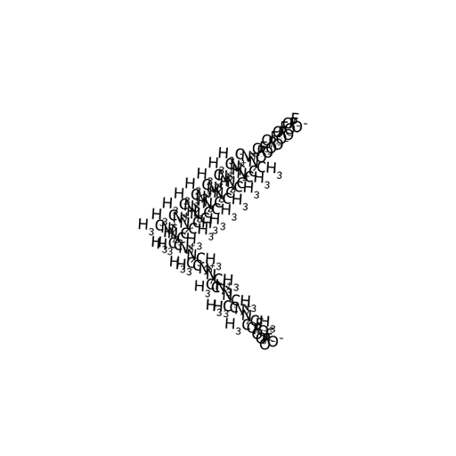 CC(C)n1cc[n+](C)c1.CC(C)n1cc[n+](C)c1.CC(C)n1cc[n+](C)c1.CC(C)n1cc[n+](C)c1.CC(C)n1cc[n+](C)c1.CC(C)n1cc[n+](C)c1.CC(C)n1cc[n+](C)c1.CC(C)n1cc[n+](C)c1.CC(C)n1cc[n+](C)c1.CC(C)n1cc[n+](C)c1.CC(C)n1cc[n+](C)c1.CC(C)n1cc[n+](C)c1.O=P([O-])([O-])F.O=P([O-])([O-])F.O=P([O-])([O-])F.O=P([O-])([O-])F.O=P([O-])([O-])F.O=P([O-])([O-])F